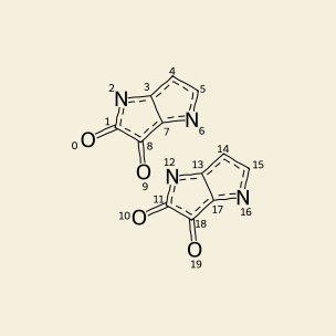 O=c1nc2ccnc-2c1=O.O=c1nc2ccnc-2c1=O